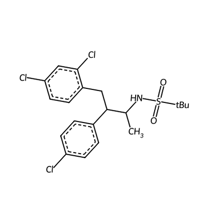 CC(NS(=O)(=O)C(C)(C)C)C(Cc1ccc(Cl)cc1Cl)c1ccc(Cl)cc1